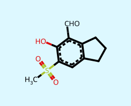 CS(=O)(=O)c1cc2c(c(C=O)c1O)CCC2